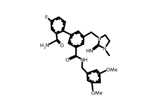 COc1cc(CNC(=O)c2cc(CN3CCN(C)C3=N)cc(-c3ccc(F)cc3C(N)=O)c2)cc(OC)c1